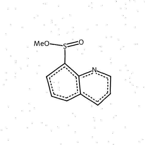 COS(=O)c1cccc2cccnc12